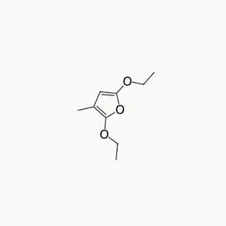 CCOc1cc(C)c(OCC)o1